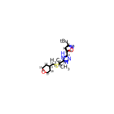 CC(C)(C)c1cc(-c2nnc(C(C)(C)SCC3CCOCC3)[nH]2)on1